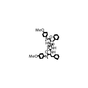 COc1ccc(N(C)C(=O)C(Cc2ccccc2)NC(=O)NS(=O)(=O)N[C@H](Cc2ccccc2)C(=O)N(C)c2ccc(OC)cc2)cc1